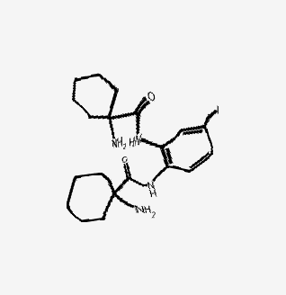 NC1(C(=O)Nc2ccc(I)cc2NC(=O)C2(N)CCCCC2)CCCCC1